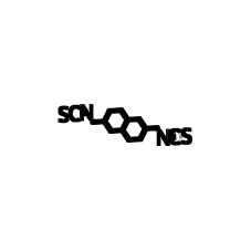 S=C=NCC1CCC2CC(CN=C=S)CCC2C1